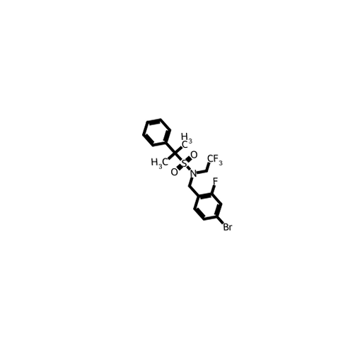 CC(C)(c1ccccc1)S(=O)(=O)N(Cc1ccc(Br)cc1F)CC(F)(F)F